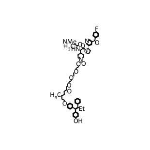 CC/C(=C(\c1ccc(O)cc1)c1ccc(OCCC(C)CCC(=O)COCCOCCOCCOC(=O)N2CCC([C@H](NC(=O)[C@H](C)NC)C(=O)N3CCC[C@H]3c3cncc(C(=O)c4ccc(F)cc4)c3)CC2)cc1)c1ccccc1